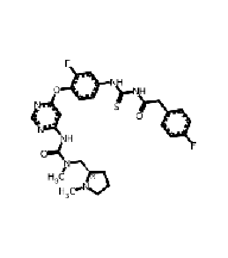 CN(C[C@H]1CCCN1C)C(=O)Nc1cc(Oc2ccc(NC(=S)NC(=O)Cc3ccc(F)cc3)cc2F)ncn1